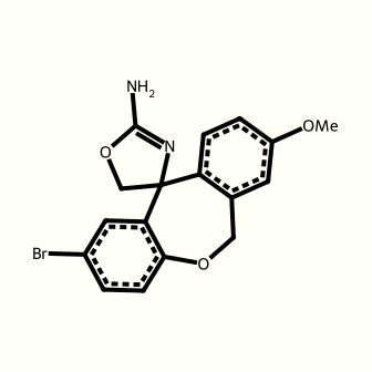 COc1ccc2c(c1)COc1ccc(Br)cc1C21COC(N)=N1